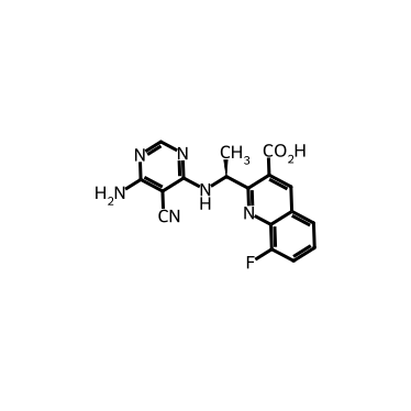 C[C@H](Nc1ncnc(N)c1C#N)c1nc2c(F)cccc2cc1C(=O)O